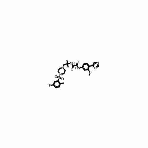 COc1cc(NC(=O)C(=O)NC(C)(C)CN2CCN(S(=O)(=O)c3cc(F)ccc3C)CC2)ccc1-c1cnco1